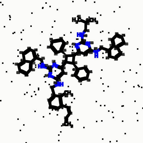 C=C/C=C\c1cccc(CNc2cc(C3[C@H](c4ccccc4)C(c4cc(NCc5cccc6ccccc56)nc(NCC(C)C)n4)[C@H]3c3ccccc3)nc(NCc3cccc4ccccc34)n2)c1C